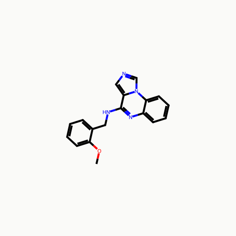 COc1ccccc1CNc1nc2ccccc2n2cncc12